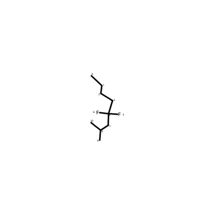 CCCCC(F)(F)CC(C)C